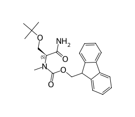 CN(C(=O)OCC1c2ccccc2-c2ccccc21)[C@@H](COC(C)(C)C)C(N)=O